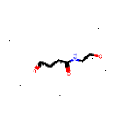 [O]CCNC(=O)CCC=O